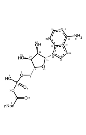 CCCCCCCCCC(=O)OP(=O)(O)OC[C@H]1O[C@@H](n2cnc3c(N)ncnc32)[C@H](O)[C@@H]1O